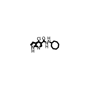 O=C(NNC1CCCCCCC1)c1cnc2[nH]ccc2c1Cl